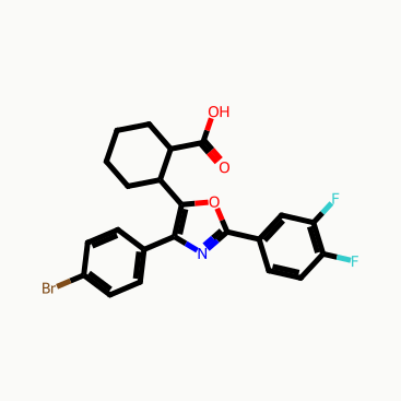 O=C(O)C1CCCCC1c1oc(-c2ccc(F)c(F)c2)nc1-c1ccc(Br)cc1